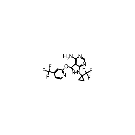 Nc1ncnc2c1c(Oc1cc(C(F)(F)F)ccn1)nn2C1(C(F)(F)F)CC1